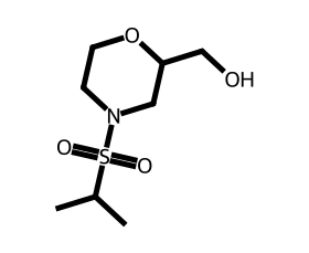 CC(C)S(=O)(=O)N1CCOC(CO)C1